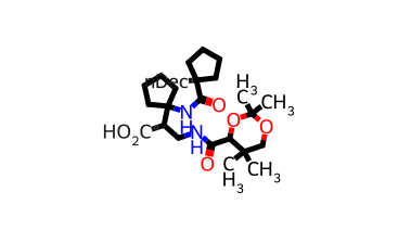 CCCCCCCCCCC1(C(=O)NC2(C(CNC(=O)C3OC(C)(C)OCC3(C)C)C(=O)O)CCCC2)CCCC1